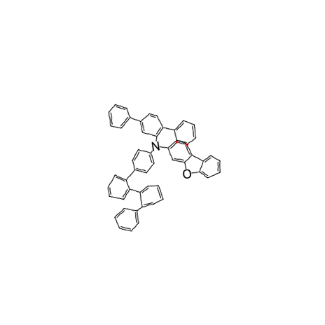 c1ccc(-c2ccc(-c3ccccc3)c(N(c3ccc(-c4ccccc4-c4ccccc4-c4ccccc4)cc3)c3ccc4c(c3)oc3ccccc34)c2)cc1